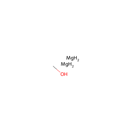 CO.[MgH2].[MgH2]